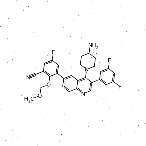 COCOc1c(C#N)cc(F)cc1-c1ccc2ncc(-c3cc(F)cc(F)c3)c(N3CCC(N)CC3)c2c1